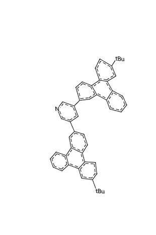 CC(C)(C)c1ccc2c3ccc(-c4cncc(-c5ccc6c7ccc(C(C)(C)C)cc7c7ccccc7c6c5)c4)cc3c3ccccc3c2c1